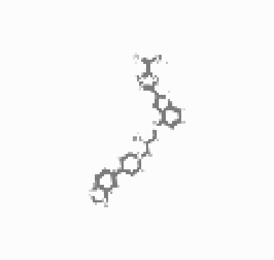 C=C(C)c1nnc(-c2cc3c(OC[C@@H](O)CN4CCC(c5ccc6c(c5)OCO6)CC4)cccc3o2)o1